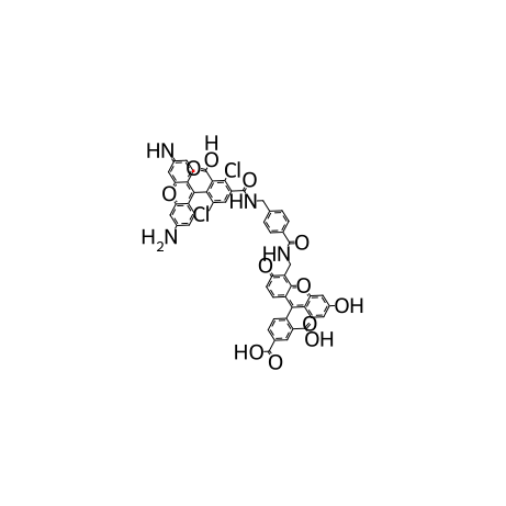 N=c1ccc2c(-c3c(Cl)cc(C(=O)NCc4ccc(C(=O)NCc5c6oc7cc(O)ccc7c(-c7ccc(C(=O)O)cc7C(=O)O)c-6ccc5=O)cc4)c(Cl)c3C(=O)O)c3ccc(N)cc3oc-2c1